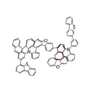 c1cc(-c2cccc3c2sc2ccccc23)cc(N(c2ccccc2-c2cccc3ccccc23)c2ccccc2-c2cccc3oc4cc(-c5cccc6c(-c7ccccc7N(c7cccc(-c8ccc9c(c8)sc8ccccc89)c7)c7ccccc7-c7cccc8oc9ccccc9c78)cccc56)ccc4c23)c1